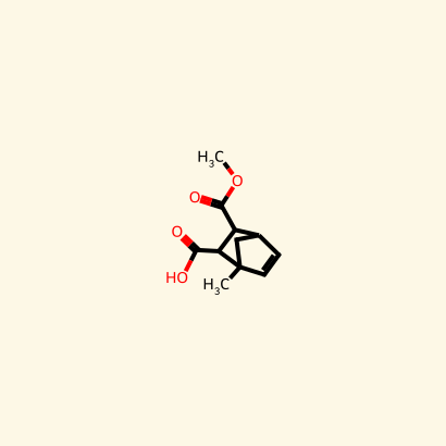 COC(=O)C1C2C=CC(C)(C2)C1C(=O)O